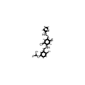 Fc1ccc(OC(F)F)cc1CNc1cc(F)c(SNc2cscn2)cc1Cl